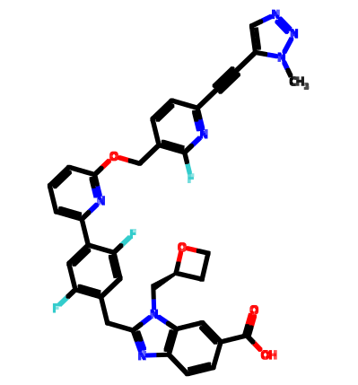 Cn1nncc1C#Cc1ccc(COc2cccc(-c3cc(F)c(Cc4nc5ccc(C(=O)O)cc5n4C[C@@H]4CCO4)cc3F)n2)c(F)n1